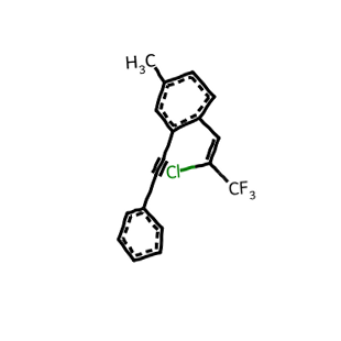 Cc1ccc(C=C(Cl)C(F)(F)F)c(C#Cc2ccccc2)c1